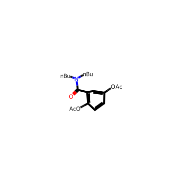 CCCCN(CCCC)C(=O)c1cc(OC(C)=O)ccc1OC(C)=O